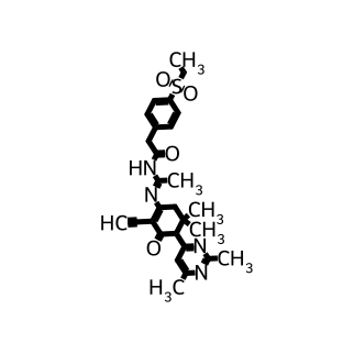 C#CC1=C(/N=C(\C)NC(=O)Cc2ccc(S(=O)(=O)CC)cc2)CC(C)(C)C(c2cc(C)nc(C)n2)C1=O